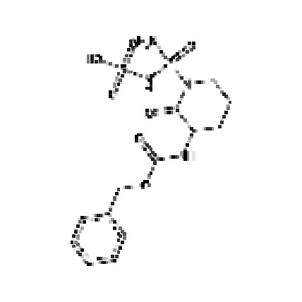 NP(=O)(NS(=O)(=O)O)N1CCCC(NC(=O)OCc2ccccc2)C1=O